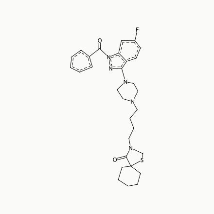 O=C(c1ccccc1)n1nc(N2CCN(CCCCN3CSC4(CCCCC4)C3=O)CC2)c2ccc(F)cc21